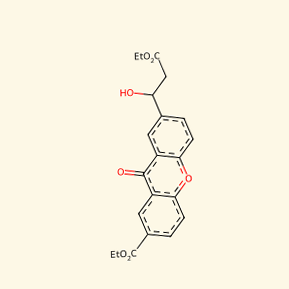 CCOC(=O)CC(O)c1ccc2oc3ccc(C(=O)OCC)cc3c(=O)c2c1